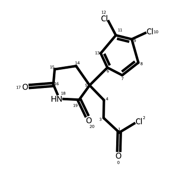 O=C(Cl)CCC1(c2ccc(Cl)c(Cl)c2)CCC(=O)NC1=O